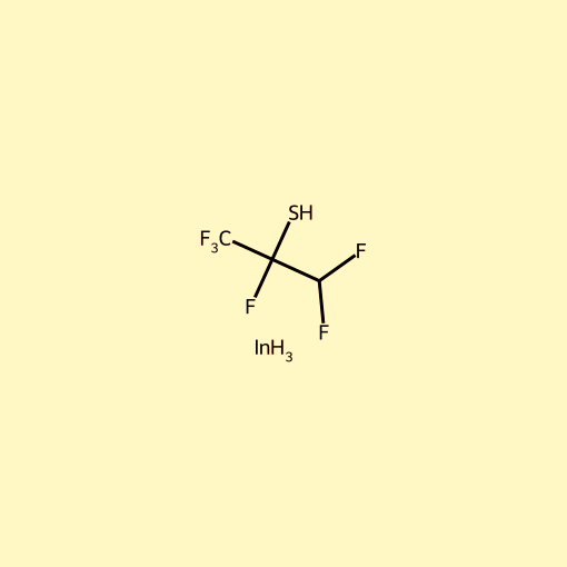 FC(F)C(F)(S)C(F)(F)F.[InH3]